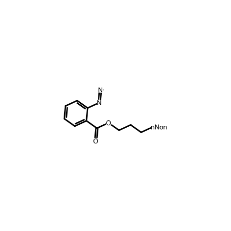 CCCCCCCCCCCCOC(=O)c1ccccc1N=[N]